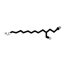 CCCCCCCCCCC(C=O)CCC#N